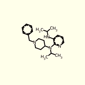 CC(C)Nc1cccnc1N(C(C)C)C1CCN(Cc2ccccc2)CC1